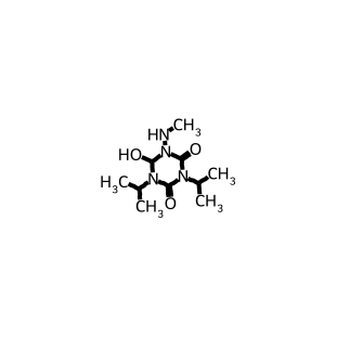 CNN1C(=O)N(C(C)C)C(=O)N(C(C)C)C1O